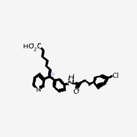 O=C(O)CCCC/C=C(\c1cccnc1)c1cccc(NC(=O)CCc2ccc(Cl)cc2)c1